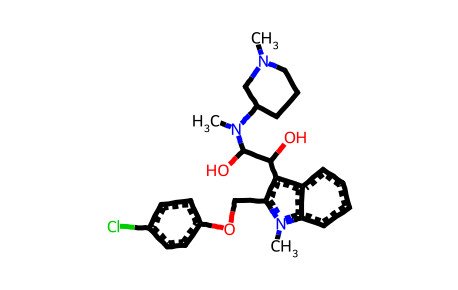 CN1CCCC(N(C)C(O)C(O)c2c(COc3ccc(Cl)cc3)n(C)c3ccccc23)C1